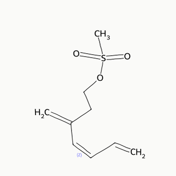 C=C/C=C\C(=C)CCOS(C)(=O)=O